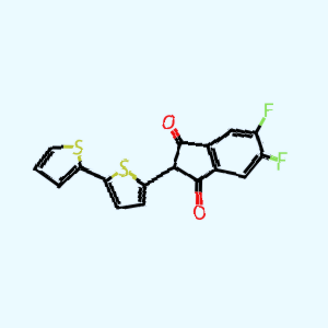 O=C1c2cc(F)c(F)cc2C(=O)C1c1ccc(-c2cccs2)s1